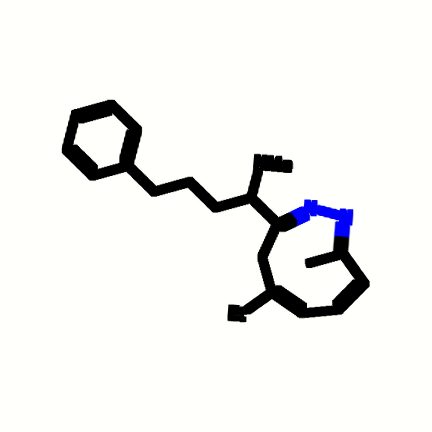 CC/C1=C/C=C\C(C)=N\N=C(\C(CCCc2ccccc2)NC)C1